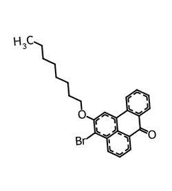 CCCCCCCCOc1cc2c3c(cccc3c1Br)C(=O)c1ccccc1-2